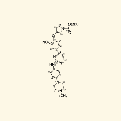 CN1CCN(c2ccc(Nc3nccc(-c4ccc(OC5CCN(C(=O)OC(C)(C)C)C5)c(C#N)c4)n3)cc2)CC1